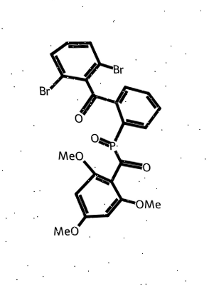 COc1cc(OC)c(C(=O)[P](=O)c2ccccc2C(=O)c2c(Br)cccc2Br)c(OC)c1